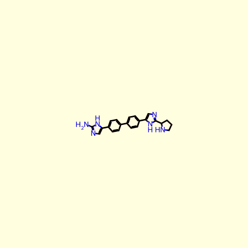 Nc1ncc(-c2ccc(-c3ccc(-c4cnc(C5CCCN5)[nH]4)cc3)cc2)[nH]1